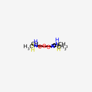 C[SH](C)CNCCOCCOCCOCCN1CCC(N[SH](C)C)CC1